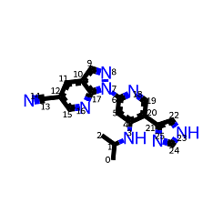 CC(C)Nc1cc(-n2ncc3cc(C#N)cnc32)ncc1-c1c[nH]cn1